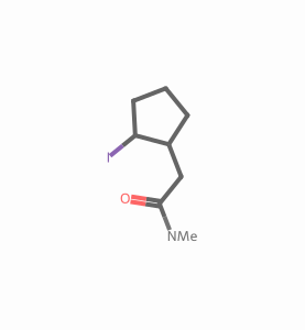 CNC(=O)CC1CCCC1I